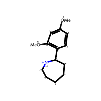 COc1ccc(C2CCCCCN2)c(OC)c1